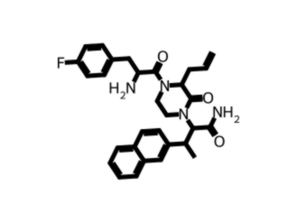 C=CCC1C(=O)N(C(C(N)=O)C(C)c2ccc3ccccc3c2)CCN1C(=O)C(N)Cc1ccc(F)cc1